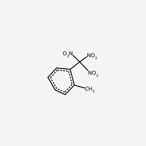 Cc1ccccc1C([N+](=O)[O-])([N+](=O)[O-])[N+](=O)[O-]